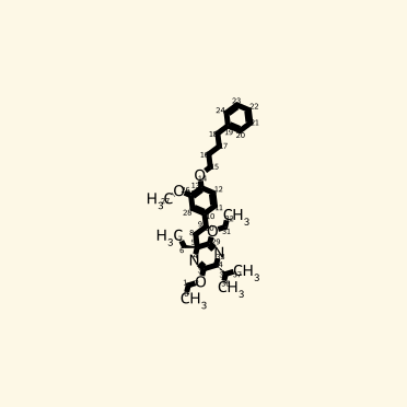 CCOC1=N[C@](CC)(CCc2ccc(OCCCCc3ccccc3)c(OC)c2)C(OCC)=N[C@@H]1C(C)C